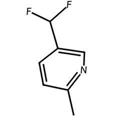 Cc1ccc(C(F)F)cn1